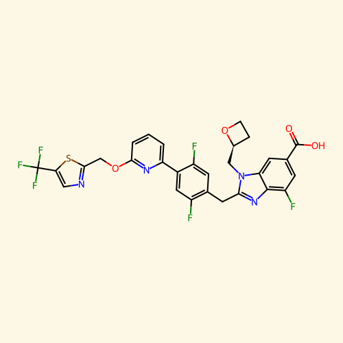 O=C(O)c1cc(F)c2nc(Cc3cc(F)c(-c4cccc(OCc5ncc(C(F)(F)F)s5)n4)cc3F)n(C[C@@H]3CCO3)c2c1